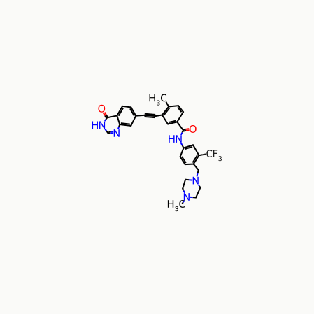 Cc1ccc(C(=O)Nc2ccc(CN3CCN(C)CC3)c(C(F)(F)F)c2)cc1C#Cc1ccc2c(=O)[nH]cnc2c1